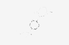 CCOP(C)(=O)c1ccc([C@@H]2C[C@H](C)CCN2)cc1